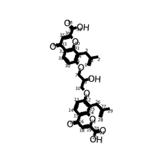 C=C(C)Cc1c(OCC(O)COc2ccc3c(=O)cc(C(=O)O)oc3c2CC(=C)C)ccc2c(=O)cc(C(=O)O)oc12